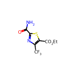 CCOC(=O)c1sc(C(N)=O)nc1C(F)(F)F